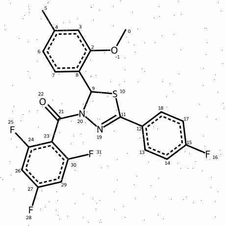 COc1cc(C)ccc1C1SC(c2ccc(F)cc2)=NN1C(=O)c1c(F)cc(F)cc1F